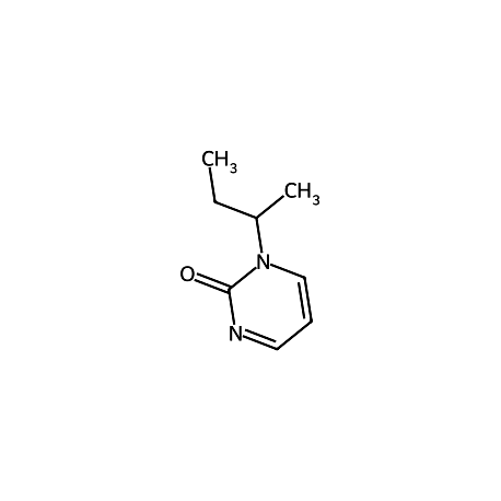 CCC(C)n1cccnc1=O